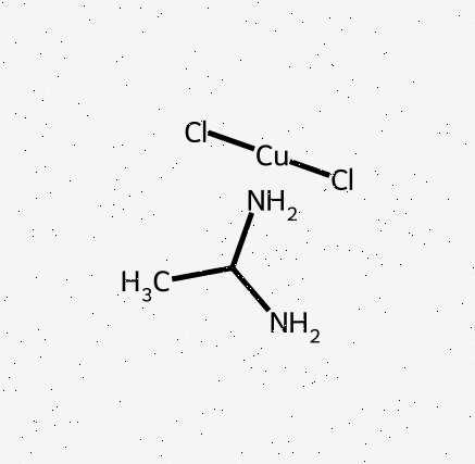 CC(N)N.[Cl][Cu][Cl]